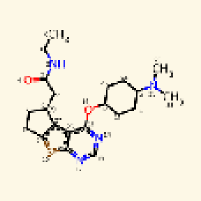 CCNC(=O)C[C@@H]1CCc2sc3ncnc(OC4CCC(N(C)C)CC4)c3c21